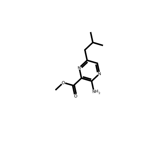 COC(=O)c1nc(CC(C)C)cnc1N